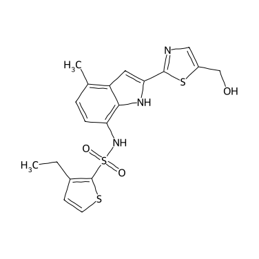 CCc1ccsc1S(=O)(=O)Nc1ccc(C)c2cc(-c3ncc(CO)s3)[nH]c12